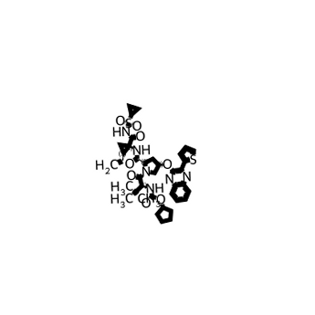 C=C[C@@H]1C[C@]1(NC(=O)[C@@H]1C[C@@H](Oc2nc3ccccc3nc2-c2cccs2)CN1C(=O)[C@@H](NC(=O)OC1CCCC1)C(C)(C)C)C(=O)NS(=O)(=O)C1CC1